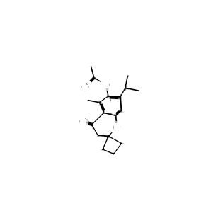 CC(=O)Oc1c(C(C)C)cc2c(c1C)C(=O)CC1(CCC1)O2